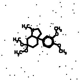 COc1ccc(C23CCN(C)C2CC(OC)(OC)CC3)cc1OC